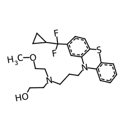 COCCN(CCO)CCCN1c2ccccc2Sc2ccc(C(F)(F)C3CC3)cc21